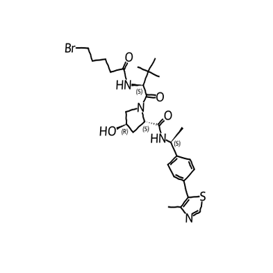 Cc1ncsc1-c1ccc([C@H](C)NC(=O)[C@@H]2C[C@@H](O)CN2C(=O)[C@@H](NC(=O)CCCCBr)C(C)(C)C)cc1